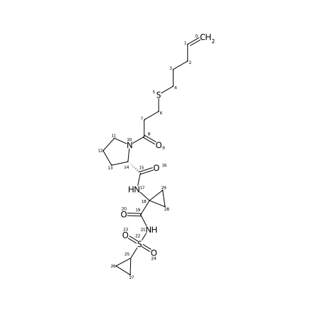 C=CCCCSCCC(=O)N1CCC[C@H]1C(=O)NC1(C(=O)NS(=O)(=O)C2CC2)CC1